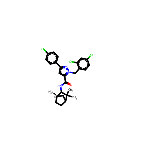 CC1(C)C2CC[C@@](C)(C2)C1NC(=O)c1cc(-c2ccc(Cl)cc2)nn1Cc1ccc(Cl)cc1Cl